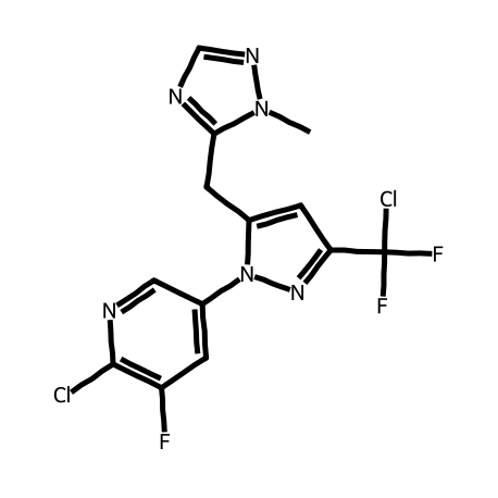 Cn1ncnc1Cc1cc(C(F)(F)Cl)nn1-c1cnc(Cl)c(F)c1